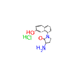 Cl.N[C@@H]1CCN(c2cccc3ccc(O)cc23)C1=O